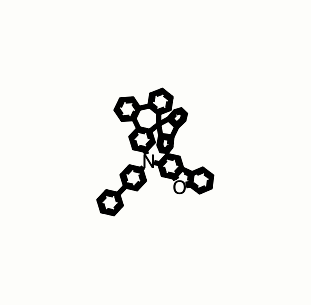 c1ccc(-c2ccc(N(c3ccc4c(c3)C3(c5ccccc5-c5ccccc5-4)c4ccccc4-c4ccccc43)c3ccc4c(c3)oc3ccccc34)cc2)cc1